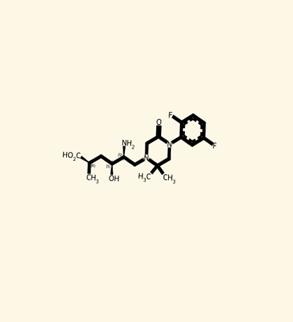 C[C@H](C[C@H](O)[C@@H](N)CN1CC(=O)N(c2cc(F)ccc2F)CC1(C)C)C(=O)O